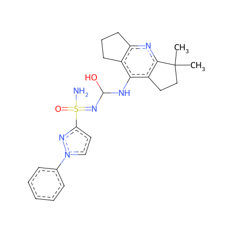 CC1(C)CCc2c1nc1c(c2NC(O)N=S(N)(=O)c2ccn(-c3ccccc3)n2)CCC1